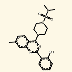 Cc1ccc2c(N3CCN(S(=O)(=O)N(C)C)CC3)nc(-c3ccccc3O)nc2c1